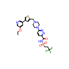 CCOc1cncc(-c2csc(CN3CCN(c4ccc(C(=O)NS(=O)(=O)CCC(F)(F)F)nn4)CC3)c2)c1